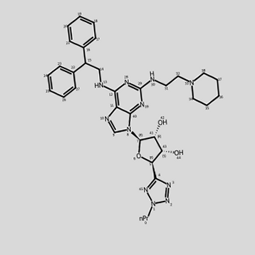 CCCn1nnc([C@H]2O[C@@H](n3cnc4c(NCC(c5ccccc5)c5ccccc5)nc(NCCN5CCCCC5)nc43)[C@H](O)[C@@H]2O)n1